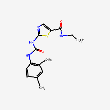 Cc1ccc(NC(=O)Nc2ncc(C(=O)NCC(=O)O)s2)c(OCC(C)C)c1